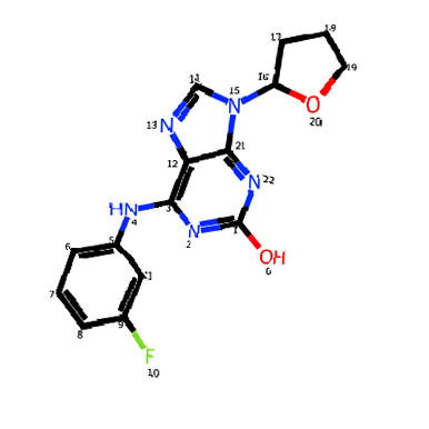 Oc1nc(Nc2cccc(F)c2)c2ncn(C3CCCO3)c2n1